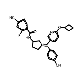 N#Cc1ccc([C@H](c2ccc(OC3CCC3)nc2)N2CCC(NC(=O)c3ccc(C#N)cc3F)C2)cc1